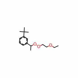 CCOCCOO[C](C)c1cccc(C(C)(C)C)c1